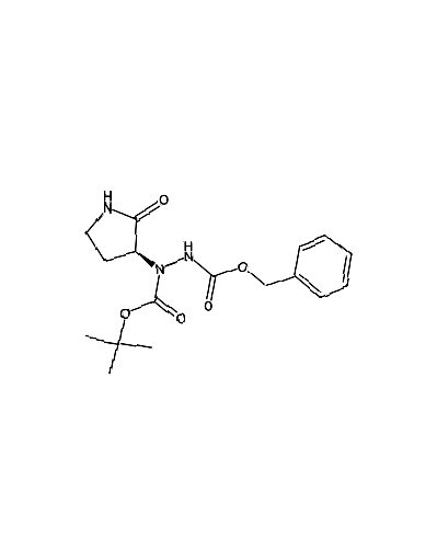 CC(C)(C)OC(=O)N(NC(=O)OCc1ccccc1)[C@H]1CCNC1=O